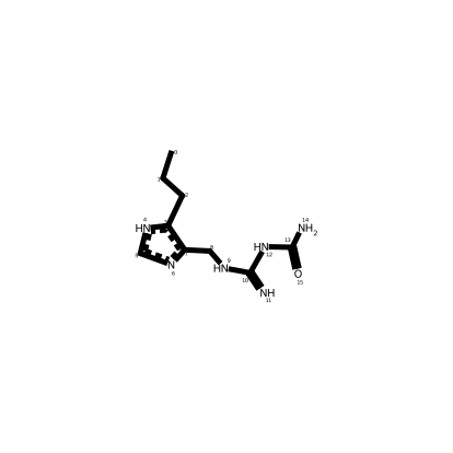 CCCc1[nH]cnc1CNC(=N)NC(N)=O